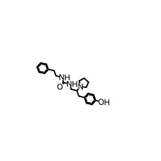 O=C(NCCc1ccccc1)NCC(Cc1ccc(O)cc1)N1CCCC1